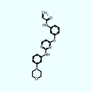 C=CC(=O)Nc1cccc(Sc2ccnc(Nc3cccc(N4CCOCC4)c3)n2)c1